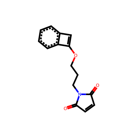 O=C1C=CC(=O)N1CCCOC1=Cc2ccccc21